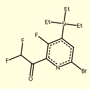 CC[Si](CC)(CC)c1cc(Br)nc(C(=O)C(F)F)c1F